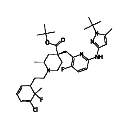 Cc1cc(Nc2ccc(F)c(C[C@@]3(C(=O)OC(C)(C)C)CCN(CCC4C=CC=C(Cl)C4(C)F)[C@H](C)C3)n2)nn1C(C)(C)C